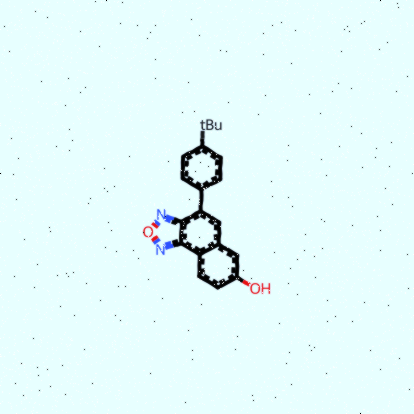 CC(C)(C)c1ccc(-c2cc3cc(O)ccc3c3nonc23)cc1